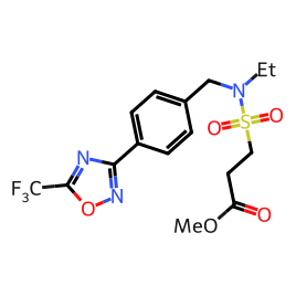 CCN(Cc1ccc(-c2noc(C(F)(F)F)n2)cc1)S(=O)(=O)CCC(=O)OC